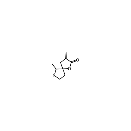 C=C1CC2(CCSC2C)OC1=O